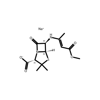 COC(=O)C=C(C)N[C@@H]1C(=O)N2[C@@H]1SC(C)(C)[C@@H]2C(=O)[O-].[Na+]